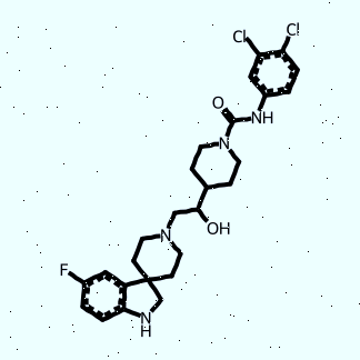 O=C(Nc1ccc(Cl)c(Cl)c1)N1CCC(C(O)CN2CCC3(CC2)CNc2ccc(F)cc23)CC1